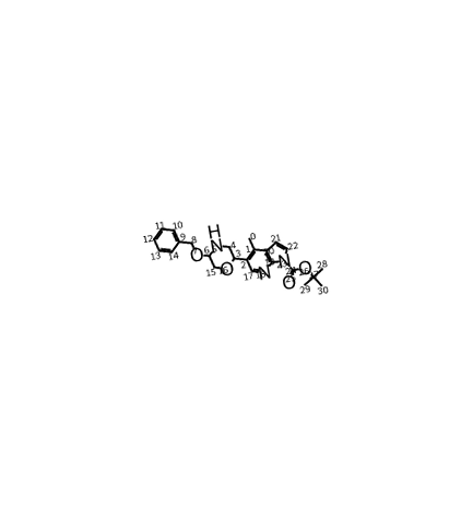 Cc1c(C2CNC(OCc3ccccc3)CO2)cnc2c1ccn2C(=O)OC(C)(C)C